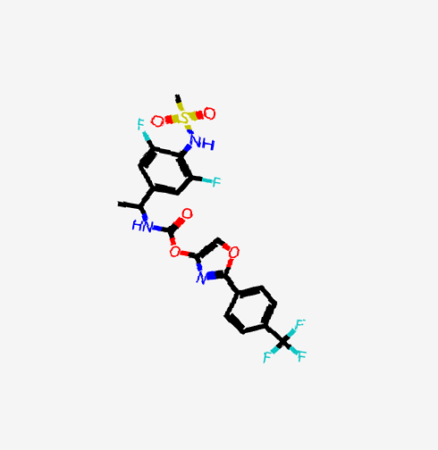 CC(NC(=O)Oc1coc(-c2ccc(C(F)(F)F)cc2)n1)c1cc(F)c(NS(C)(=O)=O)c(F)c1